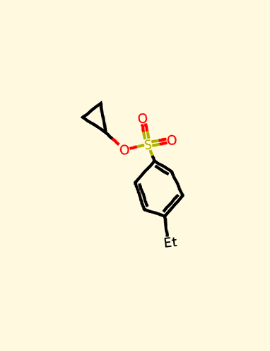 CCc1ccc(S(=O)(=O)OC2CC2)cc1